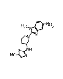 Cn1c(N2CCCC(Nc3ncc(C#N)s3)C2)nc2cc([N+](=O)[O-])ccc21